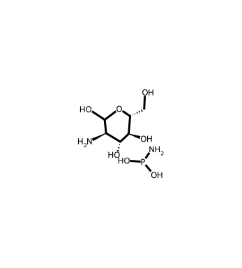 NP(O)O.N[C@H]1C(O)O[C@H](CO)[C@@H](O)[C@@H]1O